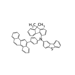 CC1(C)c2ccccc2-c2c(N(c3ccc(-c4cc5c6ccccc6ccc5c5ccccc45)cc3)c3ccc4sc5ccccc5c4c3)cccc21